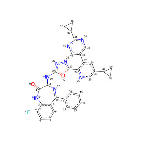 O=C1Nc2c(F)cccc2C(c2ccccc2)=N[C@@H]1Nc1nnc(-c2ncc(C3CC3)cc2-c2cnc(C3CC3)nc2)o1